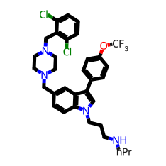 CCCNCCCn1cc(-c2ccc(OC(F)(F)F)cc2)c2cc(CN3CCN(Cc4c(Cl)cccc4Cl)CC3)ccc21